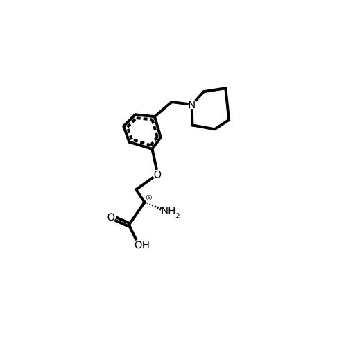 N[C@@H](COc1cccc(CN2CCCCC2)c1)C(=O)O